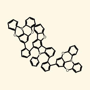 c1ccc(-n2c3c(-c4ccccc4-c4cc5c6c(c4)Oc4ccccc4B6c4ccccc4O5)cccc3c3c4oc5ccccc5c4cc(-c4ccccc4-c4cc5c6c(c4)Oc4ccccc4B6c4ccccc4O5)c32)cc1